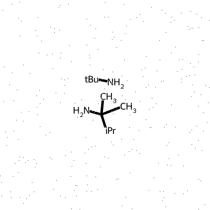 CC(C)(C)N.CC(C)C(C)(C)N